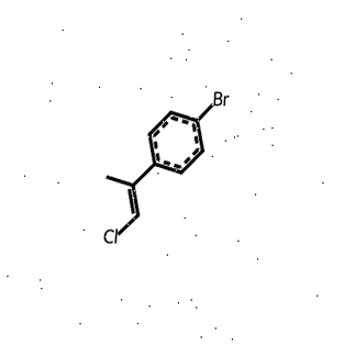 CC(=CCl)c1ccc(Br)cc1